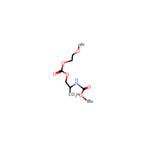 CCCOCCOC(=O)OCC(NC(=O)OC(C)(C)C)C(=O)O